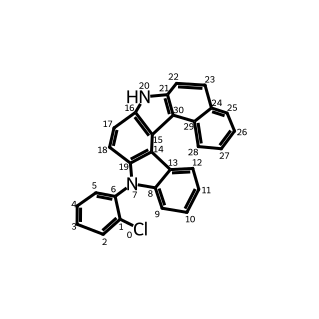 Clc1ccccc1-n1c2ccccc2c2c3c(ccc21)[nH]c1ccc2ccccc2c13